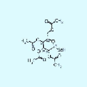 CC(=O)OC[C@@H]1O[C@H]([SeH])[C@H](OC(C)=O)[C@H](OC(C)=O)[C@H]1OC(C)=O